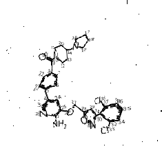 Nc1ncc(-c2ccc(C(=O)N3CCC(N4CCCC4)CC3)cc2)cc1OCc1cc(-c2c(Cl)cccc2Cl)no1